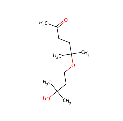 CC(=O)CCC(C)(C)OCCC(C)(C)O